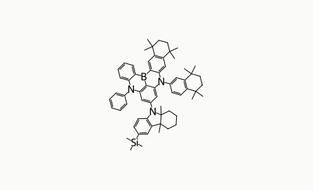 CC1(C)CCC(C)(C)c2cc(N3c4cc5c(cc4B4c6ccccc6N(c6ccccc6)c6cc(N7c8ccc([Si](C)(C)C)cc8C8(C)CCCCC78C)cc3c64)C(C)(C)CCC5(C)C)ccc21